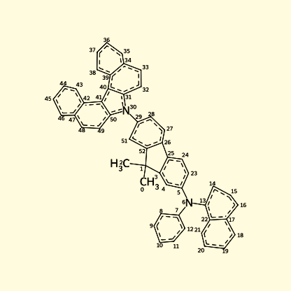 CC1(C)c2cc(N(c3ccccc3)c3cccc4ccccc34)ccc2-c2ccc(-n3c4ccc5ccccc5c4c4c5ccccc5ccc43)cc21